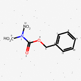 O=C(O)N(C(=O)OCc1ccccc1)[N+](=O)[O-]